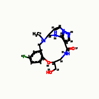 CN1Cc2cc(F)ccc2OC(CO)CNC(=O)c2cnn3c2NC1C=C3